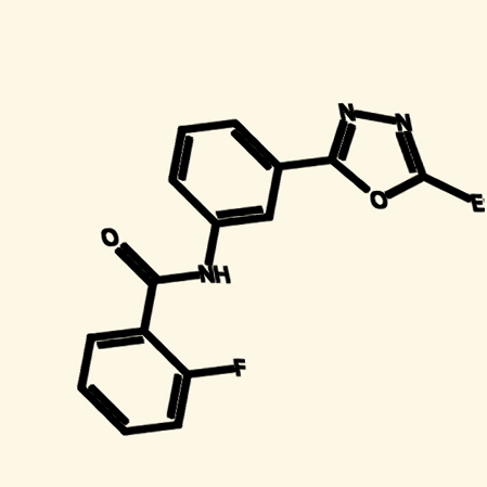 CCc1nnc(-c2cccc(NC(=O)c3ccccc3F)c2)o1